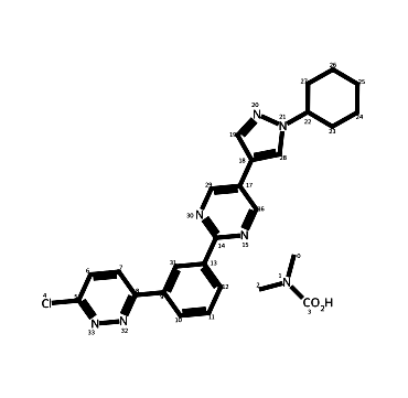 CN(C)C(=O)O.Clc1ccc(-c2cccc(-c3ncc(-c4cnn(C5CCCCC5)c4)cn3)c2)nn1